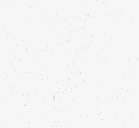 CC(=O)c1cc(N)ccc1-c1cn(C2CCN(C)C2)[nH]1